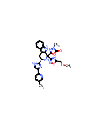 COCc1nc(C2(c3nn(C)c(=O)o3)N[C@@H](c3nc(-c4ccc(C)cn4)c[nH]3)Cc3c2[nH]c2ccccc32)no1